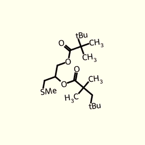 CSCC(COC(=O)C(C)(C)C(C)(C)C)OC(=O)C(C)(C)CC(C)(C)C